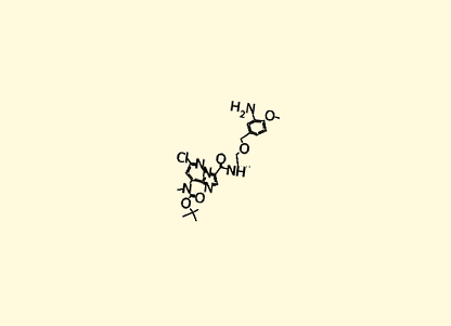 COc1ccc(COC[C@H](C)NC(=O)c2cnc3c(N(C)C(=O)OC(C)(C)C)cc(Cl)nn23)cc1N